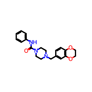 O=C(Nc1ccccc1)N1CCN(Cc2ccc3c(c2)OCCO3)CC1